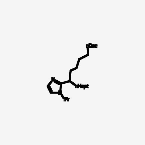 CCCCCCCCCCCCCCC(CCCCCCC)c1nccn1C(C)C